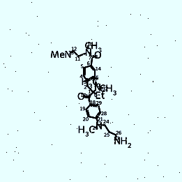 CCC(Cc1ccc(C(=O)N(C)CCNC)cc1)(C(=O)c1ccc(N(C)CCCN)cc1)N(C)C